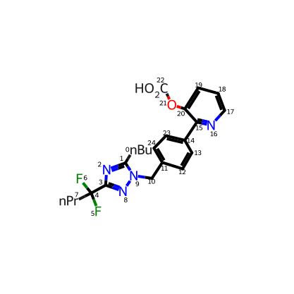 CCCCc1nc(C(F)(F)CCC)nn1Cc1ccc(-c2ncccc2OC(=O)O)cc1